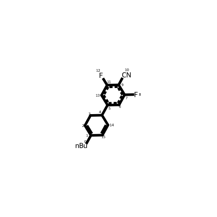 CCCCC1=CCC(c2cc(F)c(C#N)c(F)c2)C=C1